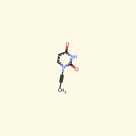 CC#Cn1ccc(=O)[nH]c1=O